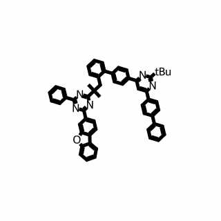 CC(C)(C)c1nc(-c2ccc(-c3ccccc3)cc2)cc(-c2ccc(-c3ccccc3CC(C)(C)c3nc(-c4ccccc4)nc(-c4ccc5c(c4)oc4ccccc45)n3)cc2)n1